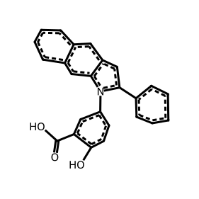 O=C(O)c1cc(-n2c(-c3ccccc3)cc3cc4ccccc4cc32)ccc1O